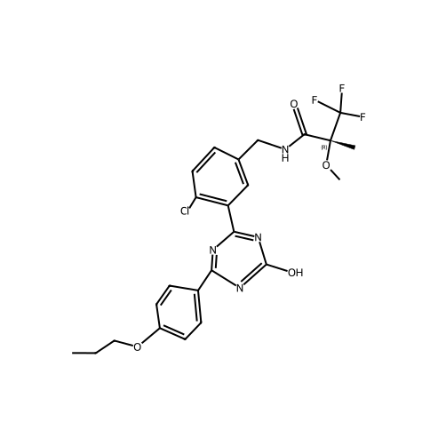 CCCOc1ccc(-c2nc(O)nc(-c3cc(CNC(=O)[C@@](C)(OC)C(F)(F)F)ccc3Cl)n2)cc1